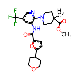 COC(=O)C1(C)CCN(c2ncc(C(F)(F)F)cc2NC(=O)c2ccc(C3CCOCC3)o2)CC1